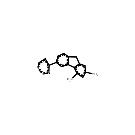 Nc1cc(N)c2c(c1)Cc1ccc(-c3ccnnn3)cc1-2